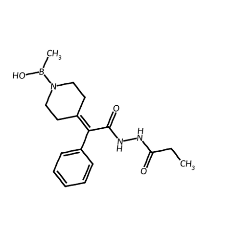 CCC(=O)NNC(=O)C(=C1CCN(B(C)O)CC1)c1ccccc1